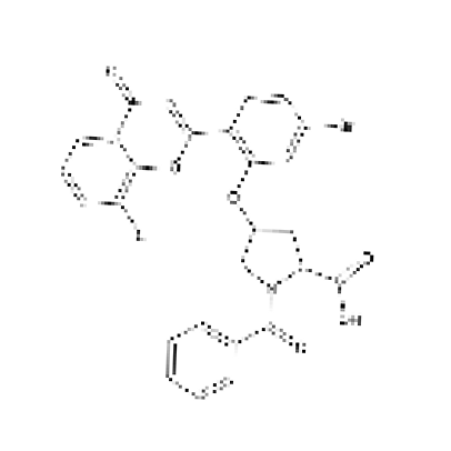 O=C(O)C1CC(Oc2cc(Br)ccc2-c2cc(=O)c3cccc(Cl)c3o2)CN1C(=O)c1ccccc1